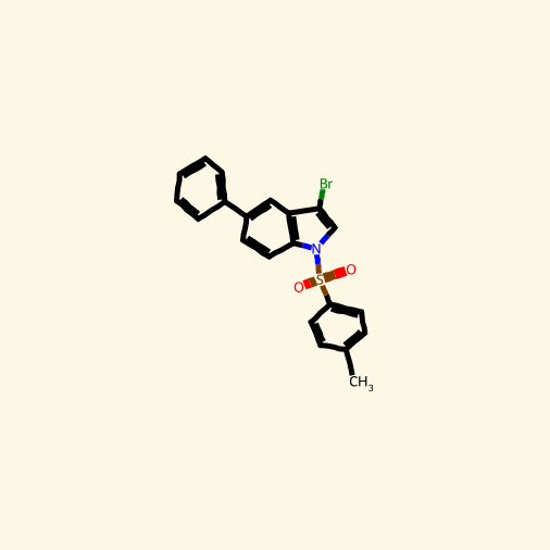 Cc1ccc(S(=O)(=O)n2cc(Br)c3cc(-c4ccccc4)ccc32)cc1